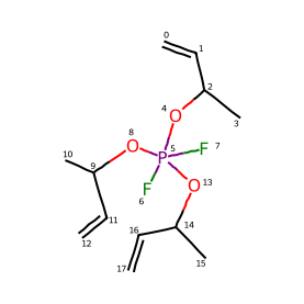 C=CC(C)OP(F)(F)(OC(C)C=C)OC(C)C=C